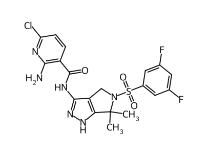 CC1(C)c2[nH]nc(NC(=O)c3ccc(Cl)nc3N)c2CN1S(=O)(=O)c1cc(F)cc(F)c1